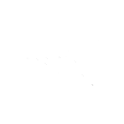 Cc1ccc(S(=O)(=O)n2c(CN3CCC[C@H](C)C3)cc3c(C(F)(F)F)cn(-c4cc(F)cc(C5(c6nncn6C)CC(C)C5)c4)c(=O)c32)cc1